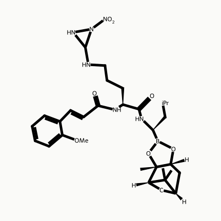 COc1ccccc1/C=C/C(=O)N[C@@H](CCCNC1NN1[N+](=O)[O-])C(=O)N[C@@H](CC(C)C)B1O[C@@H]2C[C@@H]3C[C@@H](C3(C)C)[C@]2(C)O1